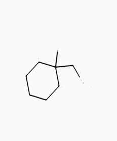 [CH2]CC1(C[N+](=O)[O-])CCCCC1